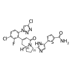 NC(=O)c1ccc(-c2cnc([C@@H]3CC[C@@H]4CC(c5c(-n6cc(Cl)nn6)ccc(Cl)c5F)=CC(=O)N43)[nH]2)s1